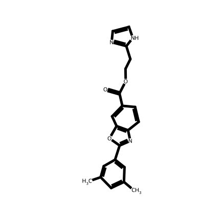 Cc1cc(C)cc(-c2nc3ccc(C(=O)OCCc4ncc[nH]4)cc3o2)c1